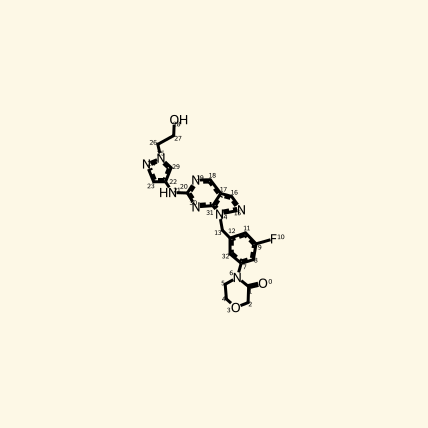 O=C1COCCN1c1cc(F)cc(Cn2ncc3cnc(Nc4cnn(CCO)c4)nc32)c1